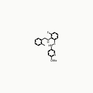 COc1ccc(NSc2cccc(F)c2NCc2ccccc2C)cn1